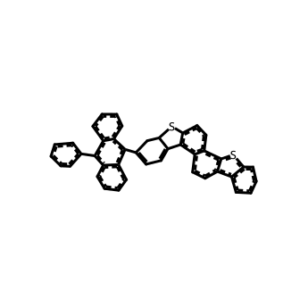 C1=C(c2c3ccccc3c(-c3ccccc3)c3ccccc23)CC2Sc3ccc4c(ccc5c6ccccc6sc45)c3C2=C1